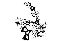 CC(=O)O[C@@H]1[C@@H](OC(C)=O)[C@H](OC(C)=O)C(C(=O)O)O[C@H]1CCc1cc(NC(=O)C(C)NC(=O)C(NC(=O)OCC2c3ccccc3-c3ccccc32)C(C)C)ccc1COC(=O)Oc1ccc([N+](=O)[O-])cc1